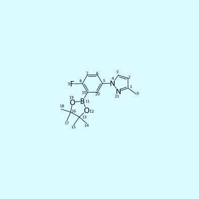 Cc1ccn(-c2ccc(F)c(B3OC(C)(C)C(C)(C)O3)c2)n1